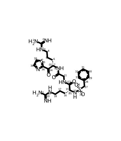 N=C(N)NCCC[C@H](NC(=O)CNC(=O)[C@@H](CCCNC(=N)N)NS(=O)(=O)Cc1ccccc1)C(=O)c1nccs1